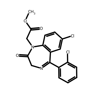 COC(=O)CN1C(=O)CN=C(c2ccccc2Cl)c2cc(Cl)ccc21